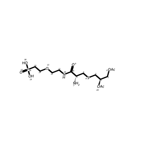 CC(=O)OC[C@H](CSC[C@H](N)C(=O)NCCOCCP(=O)(O)O)OC(C)=O